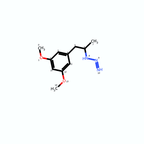 COc1cc(CC(C)NN=N)cc(OC)c1